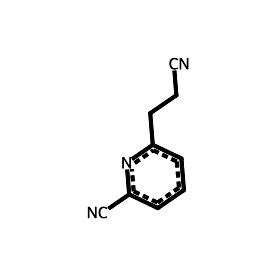 N#CCCc1cccc(C#N)n1